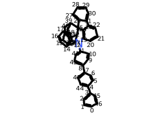 c1ccc(-c2ccc(-c3ccc(N(c4ccccc4)c4cccc5c4C4(c6ccccc6-5)C5CC6CC(C5)CC4C6)cc3)cc2)cc1